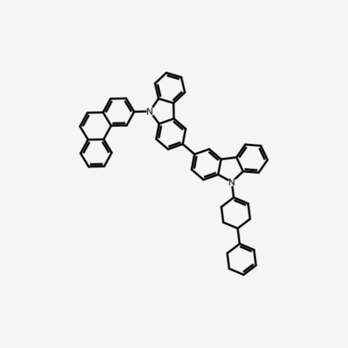 C1=CCCC(C2CC=C(n3c4ccccc4c4cc(-c5ccc6c(c5)c5ccccc5n6-c5ccc6ccc7ccccc7c6c5)ccc43)CC2)=C1